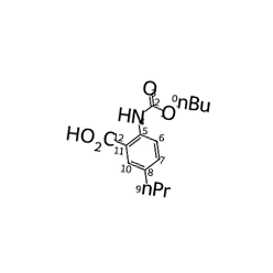 CCCCOC(=O)Nc1ccc(CCC)cc1C(=O)O